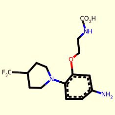 Nc1ccc(N2CCC(C(F)(F)F)CC2)c(OCCNC(=O)O)c1